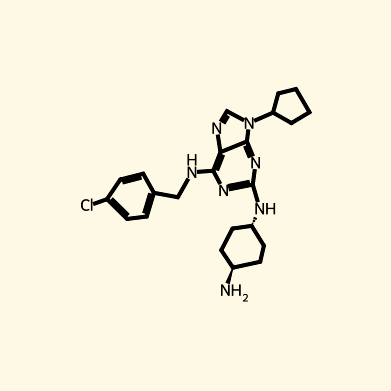 N[C@H]1CC[C@H](Nc2nc(NCc3ccc(Cl)cc3)c3ncn(C4CCCC4)c3n2)CC1